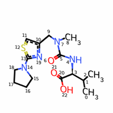 CC(C)[C@H](NC(=O)N(C)Cc1csc(N2CCCC2)n1)C(=O)O